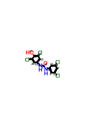 O=C(Nc1cc(Cl)cc(Cl)c1)Nc1cc(Cl)c(O)c(Cl)c1